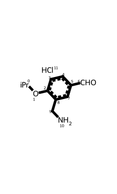 CC(C)Oc1ccc(C=O)cc1CN.Cl